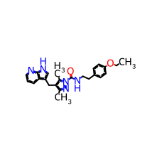 CCOc1ccc(CCNC(=O)n2nc(C)c(Cc3c[nH]c4ncccc34)c2C)cc1